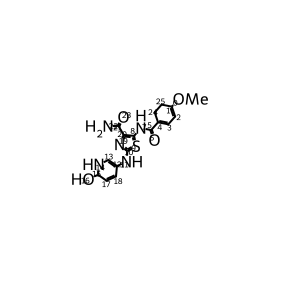 COC1=CC=C(C(=O)Nc2sc(NC3=CNC(O)C=C3)nc2C(N)=O)CC1